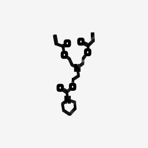 C=CC(=O)OCCN(CCOC(=O)C=C)CCOC(=O)N1CCCCC1